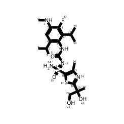 CNc1cc(C(C)C)c(NC(=O)N=S(N)(=O)c2sc(C(C)(O)CO)nc2C)c(C(C)C)c1F